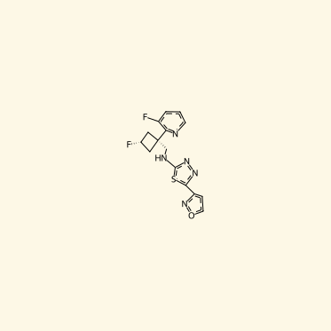 Fc1cccnc1[C@]1(CNc2nnc(-c3ccon3)s2)C[C@@H](F)C1